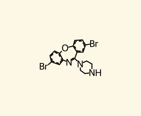 Brc1ccc2c(c1)N=C(N1CCNCC1)c1cc(Br)ccc1O2